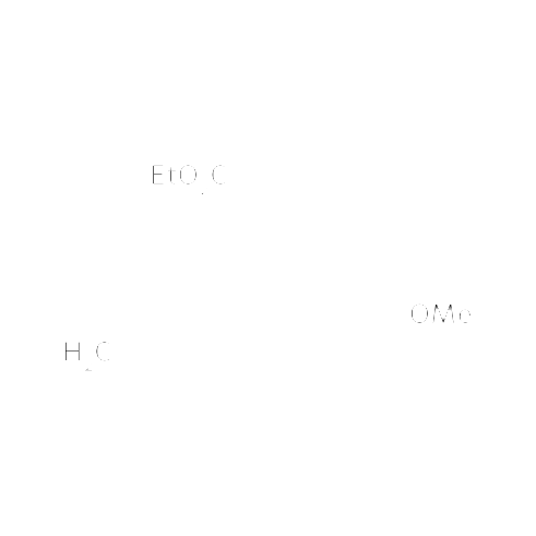 C=CCC(CCOC)C(=O)OCC